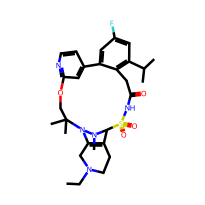 CCN1CCC2=C(C1)N1N(C)C2S(=O)(=O)NC(=O)Cc2c(cc(F)cc2C(C)C)-c2ccnc(c2)OCC1(C)C